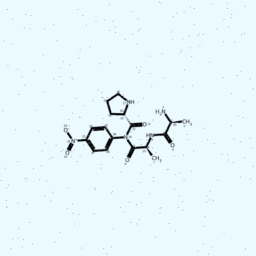 C[C@H](N)C(=O)N[C@@H](C)C(=O)N(C(=O)[C@@H]1CCCN1)c1ccc([N+](=O)[O-])cc1